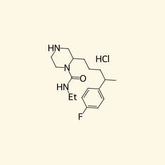 CCNC(=O)N1CCNCC1CCCC(C)c1ccc(F)cc1.Cl